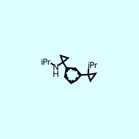 CC(C)NC1(c2cccc(C3(C(C)C)CC3)c2)CC1